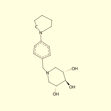 O[C@H]1[C@H](O)CN(Cc2ccc(N3CCCCC3)cc2)C[C@@H]1O